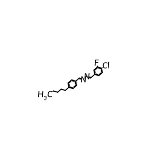 CCCCCc1ccc(/C=N/N=C/c2ccc(Cl)c(F)c2)cc1